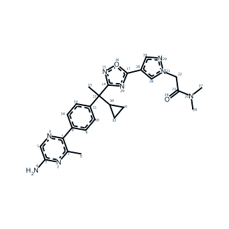 Cc1nc(N)cnc1-c1ccc(C(C)(c2noc(-c3cnn(CC(=O)N(C)C)c3)n2)C2CC2)cc1